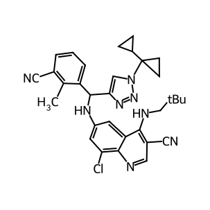 Cc1c(C#N)cccc1C(Nc1cc(Cl)c2ncc(C#N)c(NCC(C)(C)C)c2c1)c1cn(C2(C3CC3)CC2)nn1